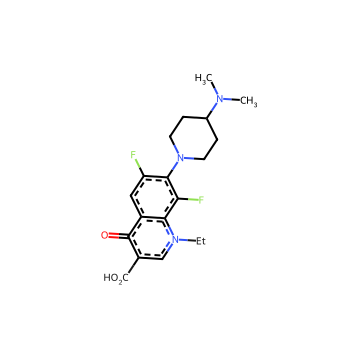 CCn1cc(C(=O)O)c(=O)c2cc(F)c(N3CCC(N(C)C)CC3)c(F)c21